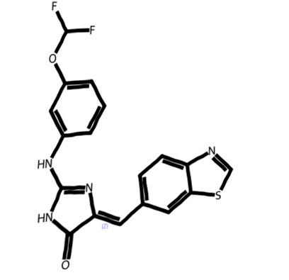 O=C1NC(Nc2cccc(OC(F)F)c2)=N/C1=C\c1ccc2ncsc2c1